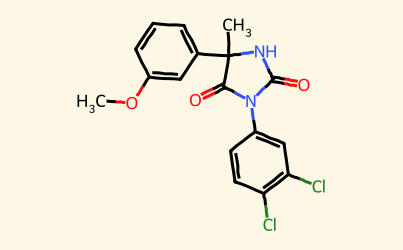 COc1cccc(C2(C)NC(=O)N(c3ccc(Cl)c(Cl)c3)C2=O)c1